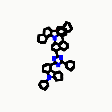 c1ccc(-c2nc(-c3ccc(-n4c5cc6ccccc6cc5c5ccc6ccccc6c54)c4c(-c5ccccc5)cccc34)nc(-c3cccc4c3c3ccccc3n4-c3ccccc3)n2)cc1